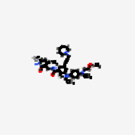 CCN(c1cc(C#CCN2CCCCCC2)cc(C(=O)NCc2c(C)cc(C)[nH]c2=O)c1C)C1CCC(N(C)CCOC)CC1